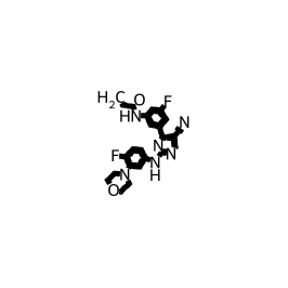 C=CC(=O)Nc1cc(F)cc(-c2nc(Nc3ccc(F)c(N4CCOCC4)c3)ncc2C#N)c1